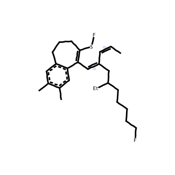 C/C=C\C(=C/C1=C(SF)CCCc2cc(C)c(C)cc21)CC(CC)CCCCCF